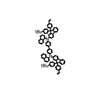 C=Cc1ccc(C2(c3ccc(C(C)(C)C)cc3)c3ccccc3-c3ccc(N(c4ccc(-c5ccc(N(c6ccc7c(c6)C(c6ccc(C=C)cc6)(c6ccc(C(C)(C)C)cc6)c6ccccc6-7)c6cccc7ccccc67)cc5)cc4)c4cccc5ccccc45)cc32)cc1